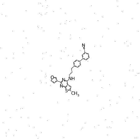 Cc1cc2c(NCCCc3ccc(-c4cccc(C#N)c4)cc3)nc(-c3ccoc3)nc2s1